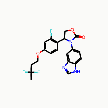 CC(F)(F)CCOc1ccc(C2COC(=O)N2c2ccc3[nH]cnc3c2)c(F)c1